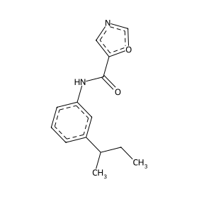 CCC(C)c1cccc(NC(=O)c2cnco2)c1